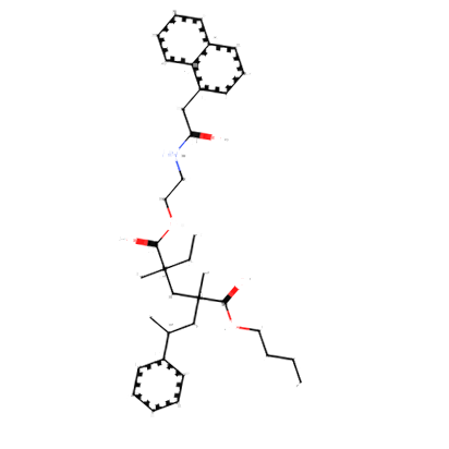 CCCCOC(=O)C(C)(CC(C)c1ccccc1)CC(C)(CC)C(=O)OCCNC(=O)Cc1cccc2ccccc12